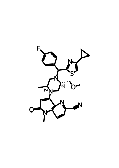 COC[C@@H]1CN(c2cc(=O)n(C)c3ccc(C#N)nc23)[C@@H](C)CN1C(c1ccc(F)cc1)c1nc(C2CC2)cs1